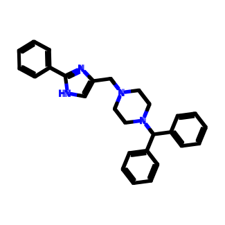 c1ccc(-c2nc(CN3CCN(C(c4ccccc4)c4ccccc4)CC3)c[nH]2)cc1